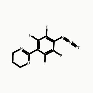 [N-]=[N+]=Nc1c(F)c(F)c(C2=NCCCO2)c(F)c1F